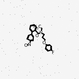 CCN(CCCOc1ccc(F)cc1)C(=O)c1ccccc1-c1ccc(N=O)cc1